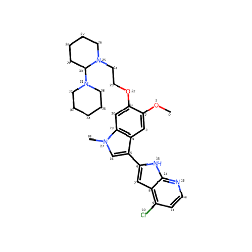 COc1cc2c(-c3cc4c(Cl)ccnc4[nH]3)cn(C)c2cc1OCCN1CCCCC1N1CCCCC1